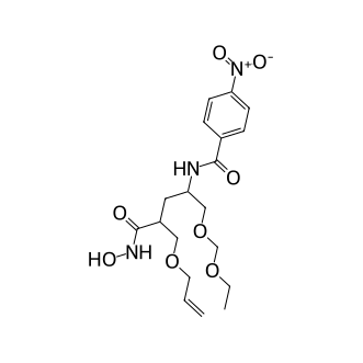 C=CCOCC(CC(COCOCC)NC(=O)c1ccc([N+](=O)[O-])cc1)C(=O)NO